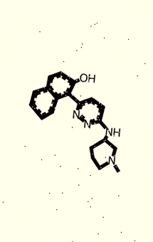 CN1CCCC(Nc2ccc(-c3c(O)ccc4ccccc34)nn2)C1